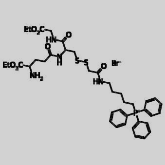 CCOC(=O)CNC(=O)C(CSSCC(=O)NCCCCC[P+](c1ccccc1)(c1ccccc1)c1ccccc1)NC(=O)CCC(N)C(=O)OCC.[Br-]